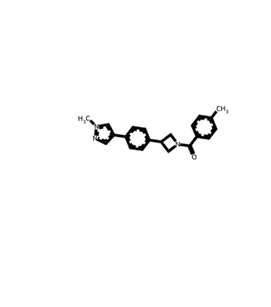 Cc1ccc(C(=O)N2CC(c3ccc(-c4cnn(C)c4)cc3)C2)cc1